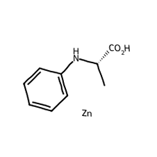 C[C@H](Nc1ccccc1)C(=O)O.[Zn]